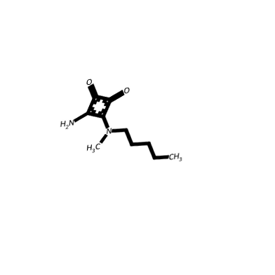 CCCCCN(C)c1c(N)c(=O)c1=O